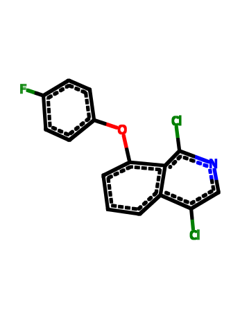 Fc1ccc(Oc2cccc3c(Cl)cnc(Cl)c23)cc1